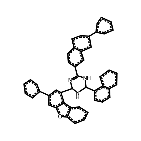 c1ccc(-c2ccc3ccc(C4=NC(c5cc(-c6ccccc6)cc6oc7ccccc7c56)NC(c5cccc6ccccc56)N4)cc3c2)cc1